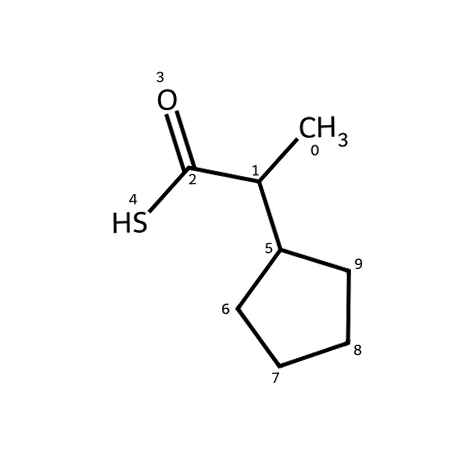 CC(C(=O)S)C1CCCC1